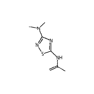 C=C(C)Nc1nc(N(C)C)ns1